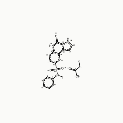 CCC(=O)O.CN(c1ccccc1)S(=O)(=O)c1ccc2[nH]c(=O)c3[nH]ccc3c2c1